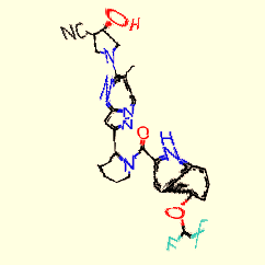 Cc1cn2nc([C@@H]3CCCCN3C(=O)c3cc4c(OC(F)F)cccc4[nH]3)cc2nc1N1C[C@@H](C#N)[C@@H](O)C1